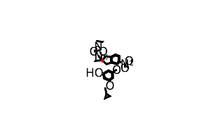 O=[N+]([O-])c1ccc2c(c1Oc1cc(O)cc(OCC3CC3)c1)CC[C@@H]2OP(=O)(N1CC1)N1CC1